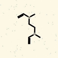 C=CN(C)CCN(C)C=C